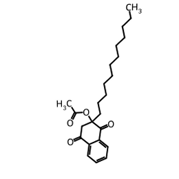 CCCCCCCCCCCCC1(OC(C)=O)CC(=O)c2ccccc2C1=O